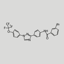 CC(C)c1cccc(C(=O)Nc2ccc(-c3ncn(-c4ccc(OC(F)(F)C(F)(F)F)cc4)n3)cc2)c1